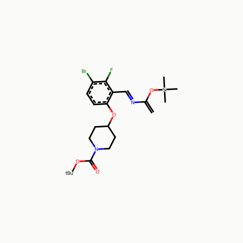 C=C(/N=C/c1c(OC2CCN(C(=O)OC(C)(C)C)CC2)ccc(Br)c1F)O[Si](C)(C)C